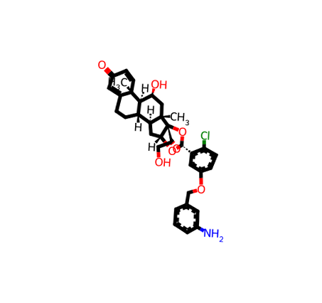 C[C@]12C=CC(=O)C=C1CC[C@@H]1[C@@H]2[C@@H](O)C[C@@]2(C)[C@H]1C[C@H]1O[C@@H](c3cc(OCc4cccc(N)c4)ccc3Cl)O[C@]12C(=O)CO